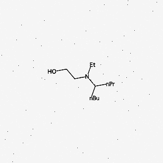 CCCCC(CCC)N(CC)CCO